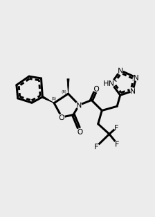 C[C@@H]1[C@H](c2ccccc2)OC(=O)N1C(=O)C(Cc1nnn[nH]1)CC(F)(F)F